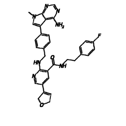 Cn1cc(-c2ccc(CNc3ncc(C4=CCOC4)cc3C(=O)NCCc3ccc(F)cc3)cc2)c2c(N)ncnc21